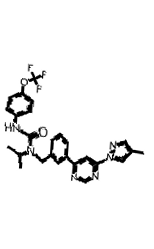 Cc1cnn(-c2cc(-c3cccc(CN(C(=O)Nc4ccc(OC(F)(F)F)cc4)C(C)C)c3)ncn2)c1